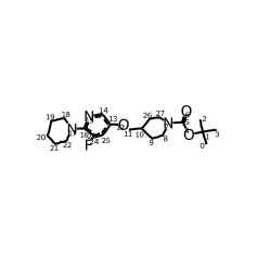 CC(C)(C)OC(=O)N1CCC(COc2cnc(N3CCCCC3)c(F)c2)CC1